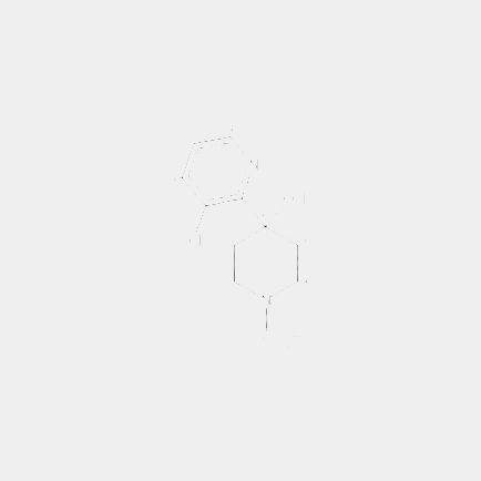 O=C(O)N1CCC(O)(c2ncccc2Cl)CC1